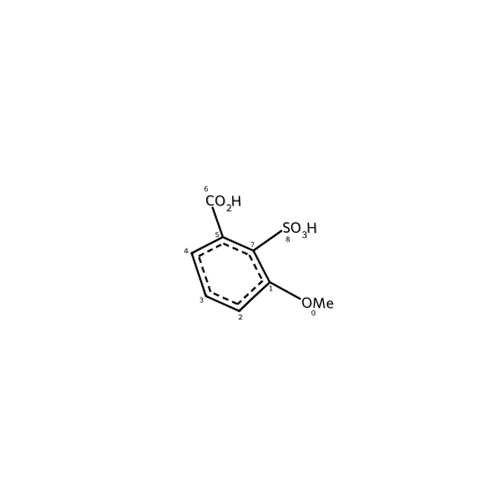 COc1cccc(C(=O)O)c1S(=O)(=O)O